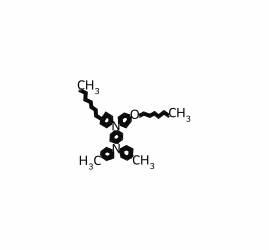 CCCCCCCCOc1ccc(N(c2ccc(CCCCCCCC)cc2)c2ccc(N(c3ccc(C)cc3)c3ccc(C)cc3)cc2)cc1